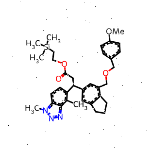 COc1ccc(COCc2cc([C@H](CC(=O)OCC[Si](C)(C)C)c3ccc4c(nnn4C)c3C)cc3c2CCC3)cc1